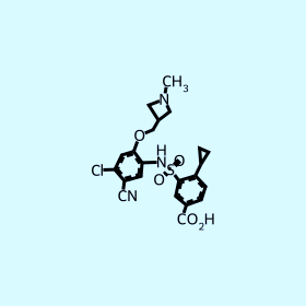 CN1CC(COc2cc(Cl)c(C#N)cc2NS(=O)(=O)c2cc(C(=O)O)ccc2C2CC2)C1